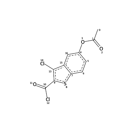 CC(=O)Oc1ccc2sc(C(=O)Cl)c(Cl)c2c1